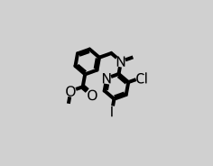 COC(=O)c1cccc(CN(C)c2ncc(I)cc2Cl)c1